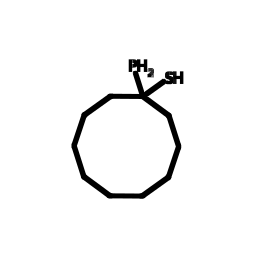 PC1(S)CCCCCCCCC1